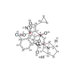 O=C(O)c1ccc(N2[C@@H]3CC[C@H]2CC(OC(=O)c2c(-c4c(Cl)cccc4Cl)noc2C2CC2)C3)c(Cl)c1